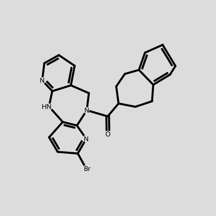 O=C(C1CCc2ccccc2CC1)N1Cc2cccnc2Nc2ccc(Br)nc21